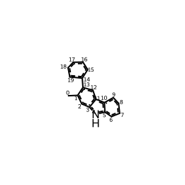 Cc1cc2[nH]c3ccccc3c2cc1-c1ccccc1